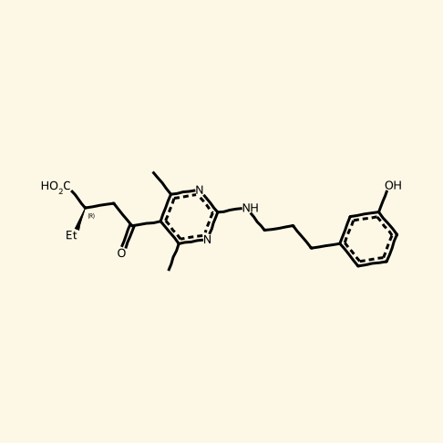 CC[C@H](CC(=O)c1c(C)nc(NCCCc2cccc(O)c2)nc1C)C(=O)O